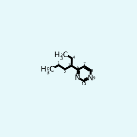 CCCC(CC)c1ccncn1